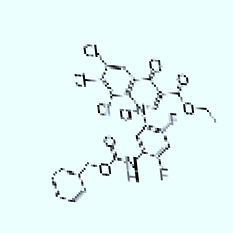 CCOC(=O)C1=C[N+]([O-])(c2cc(NC(=O)OCc3ccccc3)c(F)cc2F)c2c(cc(Cl)c(Cl)c2Cl)C1=O